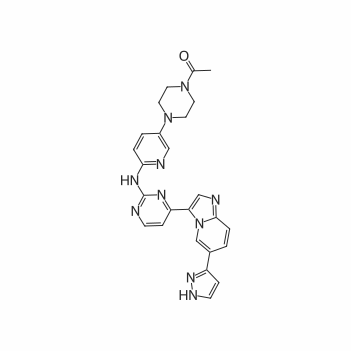 CC(=O)N1CCN(c2ccc(Nc3nccc(-c4cnc5ccc(-c6cc[nH]n6)cn45)n3)nc2)CC1